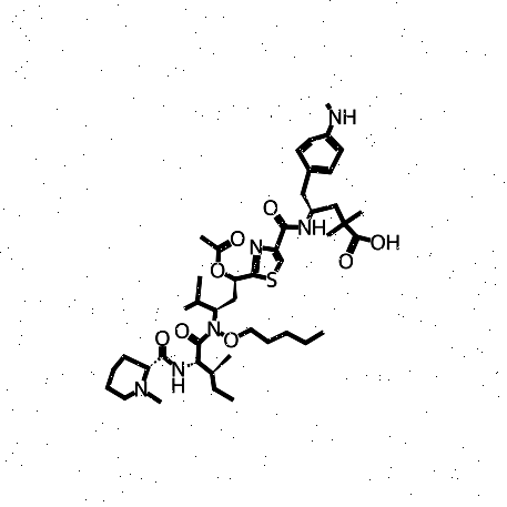 CCCCCON(C(=O)[C@@H](NC(=O)[C@H]1CCCCN1C)[C@@H](C)CC)[C@H](C[C@@H](OC(C)=O)c1nc(C(=O)N[C@@H](Cc2ccc(NC)cc2)CC(C)(C)C(=O)O)cs1)C(C)C